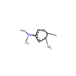 CCCCCN(C)c1ccc(C)c(C)c1